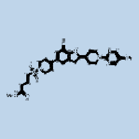 CCCc1cnc(N2CCC(C3Cc4cc(C5=CCN(S(=O)(=O)CCCC(=O)OC)CC5)cc(F)c4O3)CC2)nc1